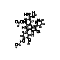 CC(=O)O.COCCOc1ccc([C@H](Nc2ccc(C(=N)N)cc2)c2nn(-c3cccnn3)c(=O)[nH]2)cc1OC